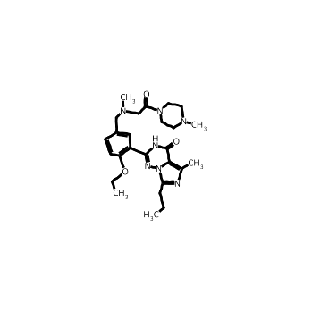 CCCc1nc(C)c2c(=O)[nH]c(-c3cc(CN(C)CC(=O)N4CCN(C)CC4)ccc3OCC)nn12